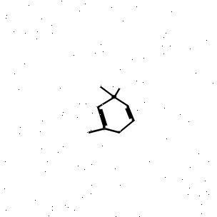 CC1(F)C=C[CH]C(F)=C1